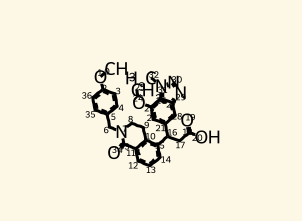 COc1ccc(CN2CCc3c(cccc3C(CC(=O)O)c3cc(OC)c4c(c3)nnn4C)C2=O)cc1